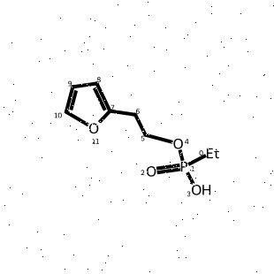 CCP(=O)(O)OCCc1ccco1